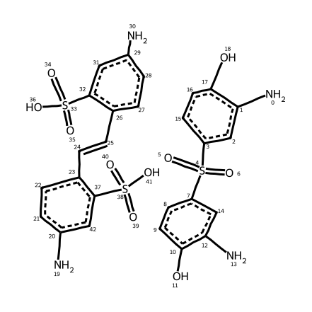 Nc1cc(S(=O)(=O)c2ccc(O)c(N)c2)ccc1O.Nc1ccc(/C=C/c2ccc(N)cc2S(=O)(=O)O)c(S(=O)(=O)O)c1